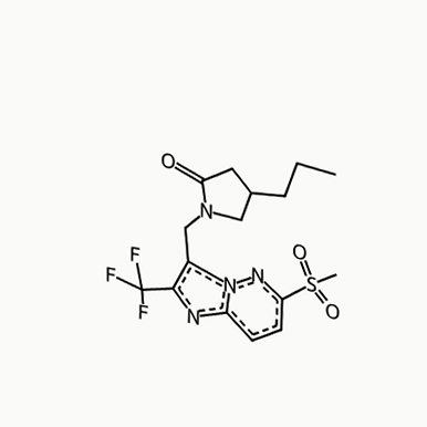 CCCC1CC(=O)N(Cc2c(C(F)(F)F)nc3ccc(S(C)(=O)=O)nn23)C1